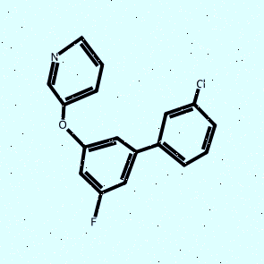 Fc1cc(Oc2cccnc2)cc(-c2cccc(Cl)c2)c1